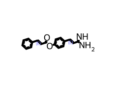 N=C(N)/C=C/c1ccc(OC(=O)/C=C/c2ccccc2)cc1